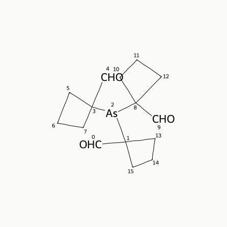 O=CC1([As](C2(C=O)CCC2)C2(C=O)CCC2)CCC1